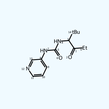 CCC(=O)C(NC(=O)Nc1cccnc1)C(C)(C)C